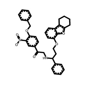 O=C(CNC(CCOc1cccc2c3c(oc12)CCCC3)c1ccccc1)c1ccc(OCc2ccccc2)c([N+](=O)[O-])c1